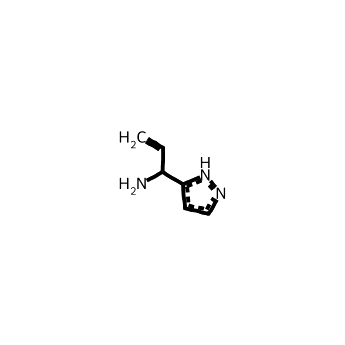 C=CC(N)c1ccn[nH]1